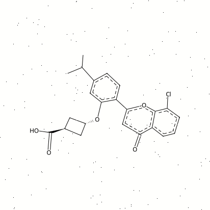 CC(C)c1ccc(-c2cc(=O)c3cccc(Cl)c3o2)c(O[C@H]2C[C@H](C(=O)O)C2)c1